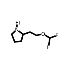 CCN1CCCC1CCOC(F)F